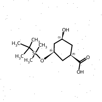 CC(C)(C)[Si](C)(C)O[C@H]1C[C@@H](O)C[C@@H](C(=O)O)C1